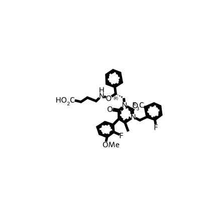 COc1cccc(-c2c(C)n(Cc3c(F)cccc3C(F)(F)F)c(=O)n(C[C@H](ONCCCC(=O)O)c3ccccc3)c2=O)c1F